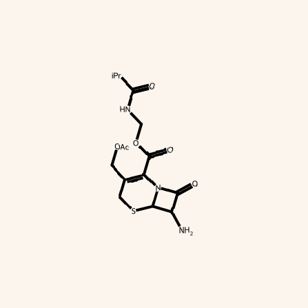 CC(=O)OCC1=C(C(=O)OCNC(=O)C(C)C)N2C(=O)C(N)C2SC1